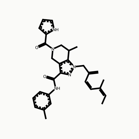 C=C(/C=C\C(C)=C/C)Cn1nc(C(=O)Nc2cccc(C)c2)c2c1C(C)CN(C(=O)c1ccc[nH]1)C2